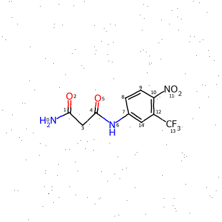 NC(=O)CC(=O)Nc1ccc([N+](=O)[O-])c(C(F)(F)F)c1